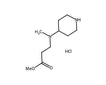 COC(=O)CCN(C)C1CCNCC1.Cl